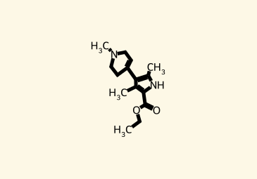 CCOC(=O)c1[nH]c(C)c(C2=CCN(C)CC2)c1C